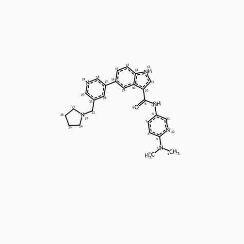 CN(C)c1ccc(NC(=O)c2c[nH]c3ccc(-c4cncc(CN5CCCC5)c4)cc23)cn1